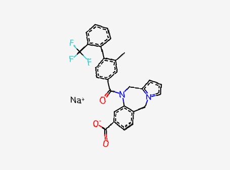 Cc1cc(C(=O)N2Cc3cccn3Cc3ccc(C(=O)[O-])cc32)ccc1-c1ccccc1C(F)(F)F.[Na+]